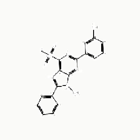 CS(=O)(=O)c1nc(-c2cccc(O)c2)nc2c1nc(-c1ccccc1)n2N